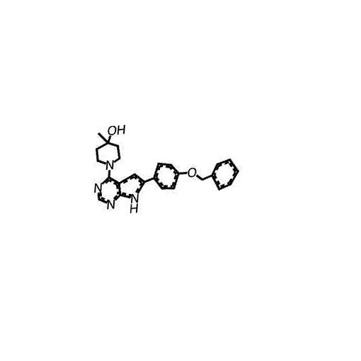 CC1(O)CCN(c2ncnc3[nH]c(-c4ccc(OCc5ccccc5)cc4)cc23)CC1